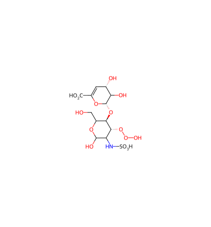 O=C(O)C1=C[C@H](O)C(O)[C@H](O[C@@H]2C(CO)OC(O)C(NS(=O)(=O)O)[C@H]2OOO)O1